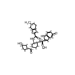 CN1CCc2nc(C(=O)N[C@@H]3C[C@@H](C(=O)N4CC[C@@H](O)C4)CC[C@@H]3NC(=O)c3cc4cc(Cl)ccc4[nH]3)sc2C1.Cl